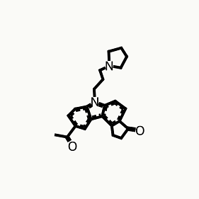 CC(=O)c1ccc2c(c1)c1c3c(ccc1n2CCCN1CCCC1)C(=O)CC3